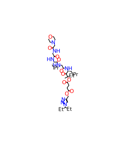 CCC(CC)n1cc(COC(=O)CCC(=O)OC(C)(CC)C(=O)[C@H](CC(C)C)NC(=O)CNC(=O)[C@H](CC(C)C)NC(=O)CNC(=O)CN2CCOCC2)nn1